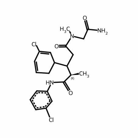 C[C@@H](C(=O)Nc1cccc(Cl)c1)C(CC(=O)N(C)CC(N)=O)C1C=C(Cl)C=CC1